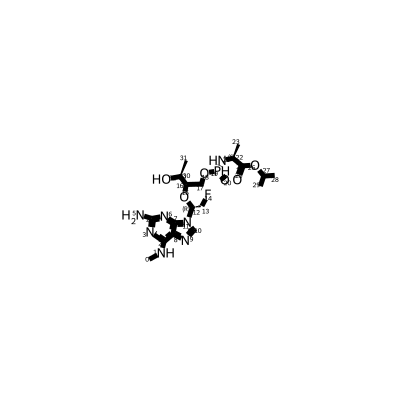 CNc1nc(N)nc2c1ncn2[C@@H](CF)OC(CO[PH](=O)N[C@@H](C)C(=O)OC(C)C)[C@H](C)O